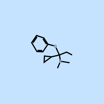 CCC(Oc1ccccc1)(C1CC1)N(C)C